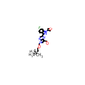 C[Si](C)(C)CCOCn1cc(C=O)c2nc(-c3nn(C4COC4)c4cc(F)ccc34)cnc21